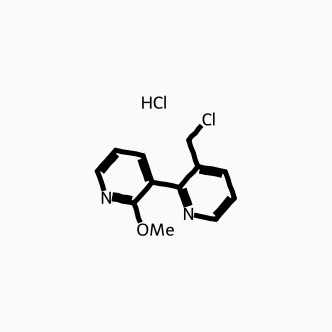 COc1ncccc1-c1ncccc1CCl.Cl